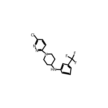 FC(F)(F)c1cccc(NC2CCN(c3ccc(Cl)nn3)CC2)c1